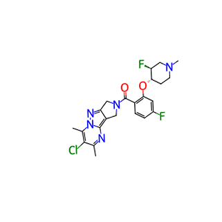 Cc1nc2c3c(nn2c(C)c1Cl)CN(C(=O)c1ccc(F)cc1O[C@H]1CCN(C)C[C@@H]1F)C3